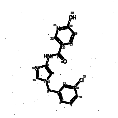 O=C(Nc1cn(Cc2cccc(Cl)c2)cn1)c1ccc(O)nc1